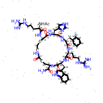 CC(=O)N[C@H](CCCNC(=N)N)C(=O)N[C@H]1CCCNC(=O)CCC(C(N)=O)NC(=O)[C@H](Cc2c[nH]c3ccccc23)NC(=O)[C@H](CCCNC(=N)N)NC(=O)[C@@H](Cc2ccccc2F)NC(=O)[C@H](Cc2c[nH]cn2)NC1=O